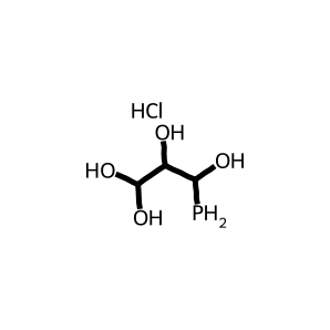 Cl.OC(O)C(O)C(O)P